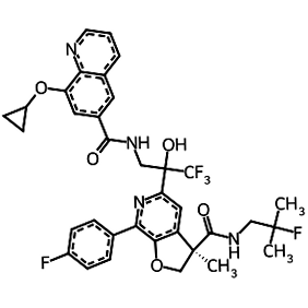 CC(C)(F)CNC(=O)[C@@]1(C)COc2c1cc(C(O)(CNC(=O)c1cc(OC3CC3)c3ncccc3c1)C(F)(F)F)nc2-c1ccc(F)cc1